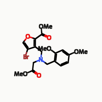 COC(=O)CN(Cc1ccc(OC)cc1OC)Cc1c(Br)coc1C(=O)OC